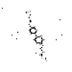 CCCCCc1ccc(-c2ccc(CCCCC)cn2)cc1